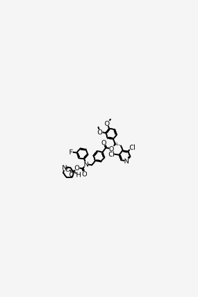 COc1ccc([C@H](Cc2c(Cl)cncc2Cl)OC(=O)c2ccc(CN(C(=O)O[C@H]3CN4CCCC3CC4)c3cccc(F)c3)cc2)cc1OC